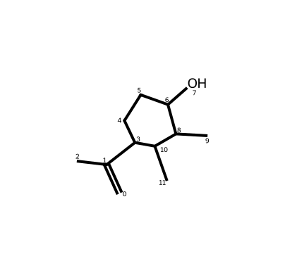 C=C(C)C1CCC(O)C(C)C1C